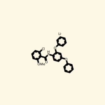 COc1cccc(Cl)c1C(=O)Pc1ccc(Oc2ccccc2)cc1Oc1ccccc1.[Li]